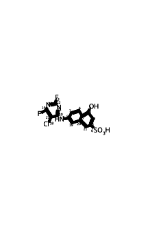 O=S(=O)(O)c1cc(O)c2ccc(Nc3nc(F)nc(F)c3Cl)cc2c1